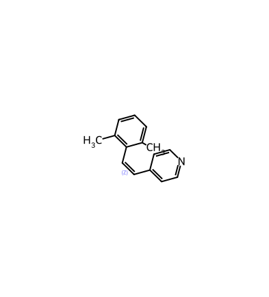 Cc1cccc(C)c1/C=C\c1ccncc1